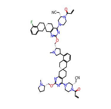 C=CC(=O)N1CCN(c2nc(OC[C@@H]3CC(c4cccc5c4CC[C@@]4(CCc6c(nc(OC[C@@H]7CCCN7C)nc6N6CCN(C(=O)C=C)[C@@H](CC#N)C6)C4)C5)CN3C)nc3c2CC[C@]2(CCc4c(F)cccc4C2)C3)C[C@@H]1CC#N